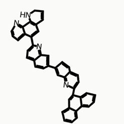 C1=Cc2cc(-c3ccc4ccc(-c5ccc6ccc(-c7cc8ccccc8c8ccccc78)nc6c5)cc4n3)c3cccnc3c2NC1